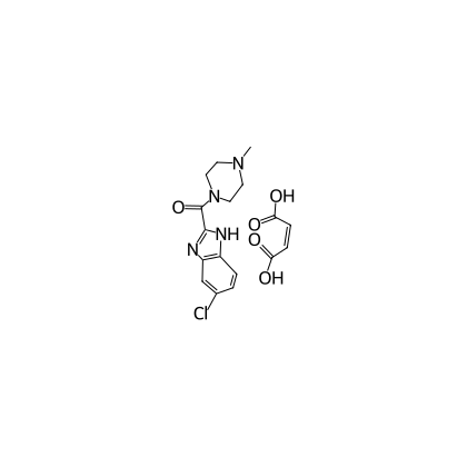 CN1CCN(C(=O)c2nc3cc(Cl)ccc3[nH]2)CC1.O=C(O)/C=C\C(=O)O